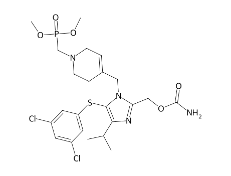 COP(=O)(CN1CC=C(Cn2c(COC(N)=O)nc(C(C)C)c2Sc2cc(Cl)cc(Cl)c2)CC1)OC